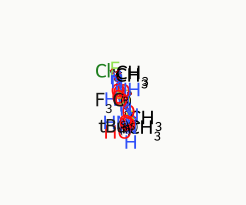 Cc1ncsc1-c1ccc([C@H](C)NC(=O)[C@@H]2C[C@@H](O)CN2C(=O)[C@@H](NC(=O)CCCCCC(=O)N2CC3CC2CN3CC[C@H](CSc2ccccc2)Nc2ccc(S(=O)(=O)NC(=O)c3ccc(N4CCN(CC5=C(c6ccc(Cl)cc6F)CCC(C)(C)C5)CC4)cc3)cc2S(=O)(=O)C(F)(F)F)C(C)(C)C)cc1